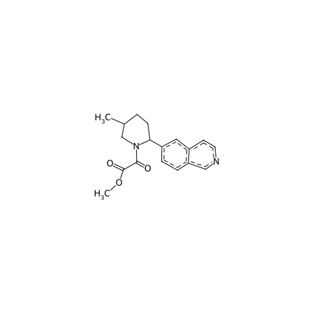 COC(=O)C(=O)N1CC(C)CCC1c1ccc2cnccc2c1